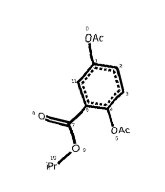 CC(=O)Oc1ccc(OC(C)=O)c(C(=O)OC(C)C)c1